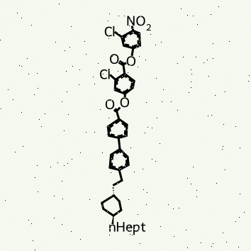 CCCCCCC[C@H]1CC[C@H](CCc2ccc(-c3ccc(C(=O)Oc4ccc(C(=O)Oc5ccc([N+](=O)[O-])c(Cl)c5)c(Cl)c4)cc3)cc2)CC1